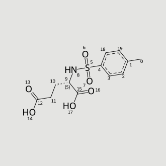 Cc1ccc(S(=O)(=O)N[C@@H](CCC(=O)O)C(=O)O)cc1